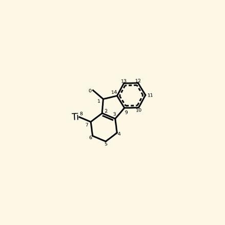 CC1C2=C(CCC[CH]2[Ti])c2ccccc21